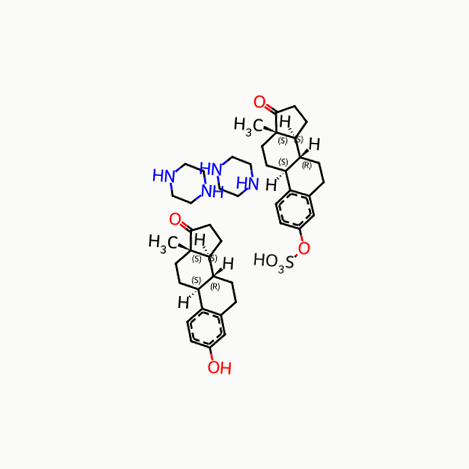 C1CNCCN1.C1CNCCN1.C[C@]12CC[C@@H]3c4ccc(O)cc4CC[C@H]3[C@@H]1CCC2=O.C[C@]12CC[C@@H]3c4ccc(OS(=O)(=O)O)cc4CC[C@H]3[C@@H]1CCC2=O